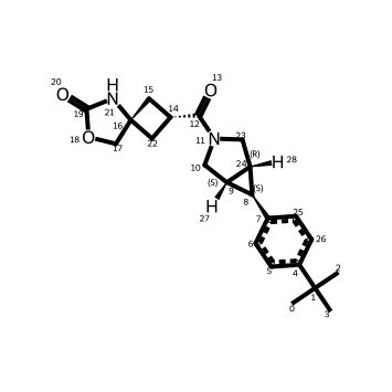 CC(C)(C)c1ccc([C@H]2[C@@H]3CN(C(=O)[C@H]4C[C@]5(COC(=O)N5)C4)C[C@@H]32)cc1